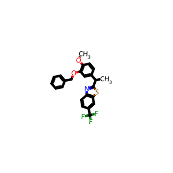 COc1ccc(C(C)c2nc3ccc(C(F)(F)F)cc3s2)cc1OCc1ccccc1